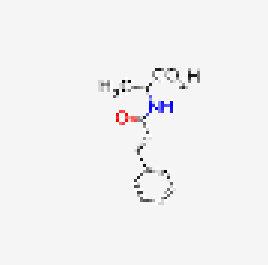 CC(NC(=O)C=Cc1ccccc1)C(=O)O